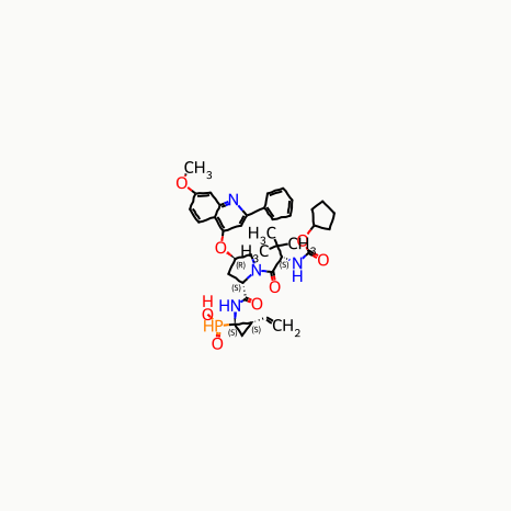 C=C[C@@H]1C[C@]1(NC(=O)[C@@H]1C[C@@H](Oc2cc(-c3ccccc3)nc3cc(OC)ccc23)CN1C(=O)[C@@H](NC(=O)OC1CCCC1)C(C)(C)C)[PH](=O)O